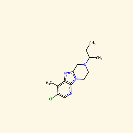 CCC(C)N1CCn2c(nc3c(C)c(Cl)cnc32)C1